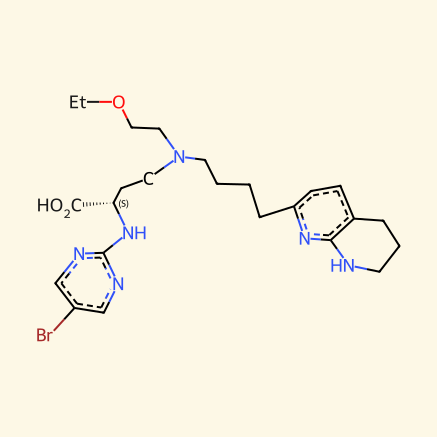 CCOCCN(CCCCc1ccc2c(n1)NCCC2)CC[C@H](Nc1ncc(Br)cn1)C(=O)O